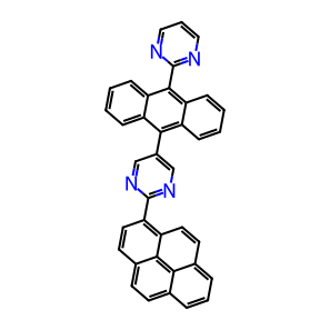 c1cnc(-c2c3ccccc3c(-c3cnc(-c4ccc5ccc6cccc7ccc4c5c67)nc3)c3ccccc23)nc1